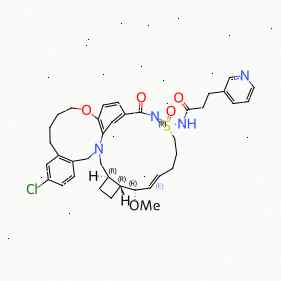 CO[C@H]1/C=C/CCC[S@@](=O)(NC(=O)CCc2cccnc2)=NC(=O)c2ccc3c(c2)N(Cc2ccc(Cl)cc2CCCCO3)C[C@@H]2CC[C@H]21